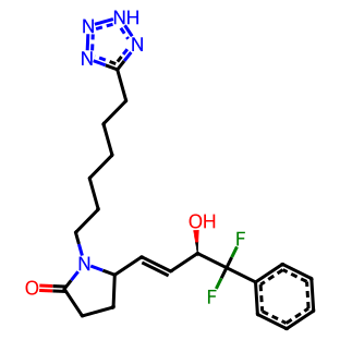 O=C1CCC(/C=C/[C@@H](O)C(F)(F)c2ccccc2)N1CCCCCCc1nn[nH]n1